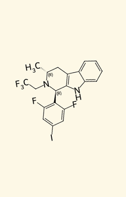 C[C@@H]1Cc2c([nH]c3ccccc23)[C@@H](c2c(F)cc(I)cc2F)N1CC(F)(F)F